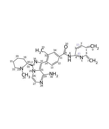 C=C/C=C\C(=N/C=C)NC(=O)c1ccc(-c2nc([C@@H]3CCCCN3C)n3ccnc(N)c23)c(C)c1